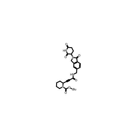 CC(C)(C)OC(=O)N1CCCCC1C#CC(=O)NCc1ccc2c(c1)CN(C1CCC(=O)NC1=O)C2=O